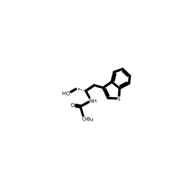 CC(C)COC(=O)N[C@H](CO)Cc1csc2ccccc12